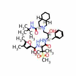 Cc1cc(C(=O)N[C@H](C(=O)N[C@@H](Cc2ccccc2)[C@H](O)CN2C[C@H]3CCCC[C@H]3C[C@H]2C(=O)NC(C)(C)C)C(C)(C)S(C)(=O)=O)oc1C